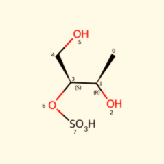 C[C@@H](O)[C@H](CO)OS(=O)(=O)O